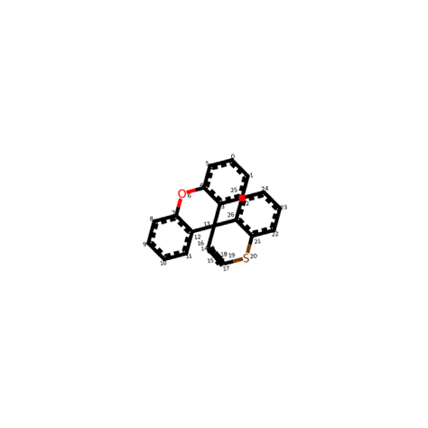 c1ccc2c(c1)Oc1ccccc1C21c2ccccc2Sc2ccccc21